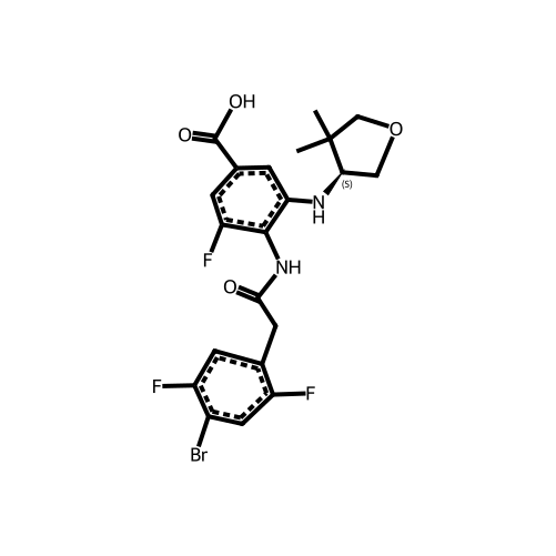 CC1(C)COC[C@H]1Nc1cc(C(=O)O)cc(F)c1NC(=O)Cc1cc(F)c(Br)cc1F